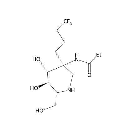 CCC(=O)N[C@@]1(CCCC(F)(F)F)CN[C@H](CO)[C@@H](O)[C@@H]1O